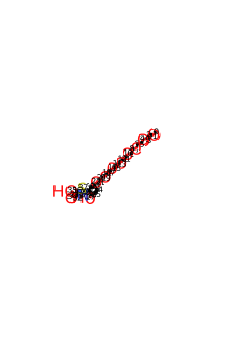 COCCOCCOCCOCCOCCOCCOCCOc1ccc(O)c(C2=N[C@@](C)(C(=O)O)CS2)c1